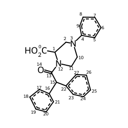 O=C(O)C1CN(c2ccccc2)CCN1C(=O)C(c1ccccc1)c1ccccc1